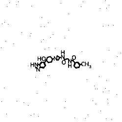 Cc1cccc(C(=O)NCC(=O)NC2CN(C3CCC(O)(c4ccc5nc[nH]c5c4)CC3)C2)c1